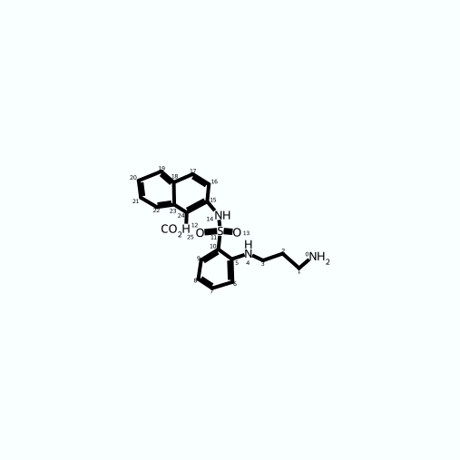 NCCCNc1ccccc1S(=O)(=O)Nc1ccc2ccccc2c1C(=O)O